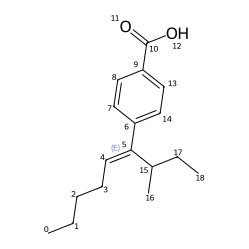 CCCC/C=C(/c1ccc(C(=O)O)cc1)C(C)CC